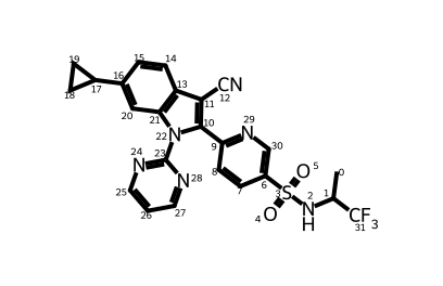 CC(NS(=O)(=O)c1ccc(-c2c(C#N)c3ccc(C4CC4)cc3n2-c2ncccn2)nc1)C(F)(F)F